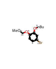 CCCCOc1cc(Br)ccc1OCOC